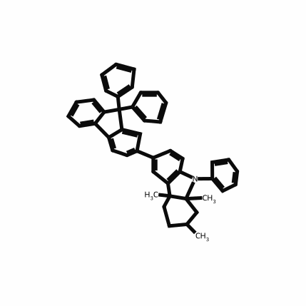 CC1CCC2(C)c3cc(-c4ccc5c(c4)C(c4ccccc4)(c4ccccc4)c4ccccc4-5)ccc3N(c3ccccc3)C2(C)C1